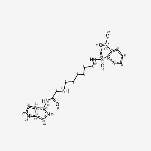 O=C(CNCCCCCCNS(=O)(=O)c1ccccc1[N+](=O)[O-])Nc1nsc2nccn12